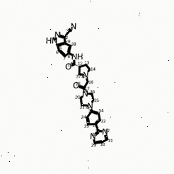 N#Cc1n[nH]c2ccc(NC(=O)[C@@H]3CCN(CC(=O)N4CCN(c5ccc(-c6ncccn6)cc5)CC4)C3)cc12